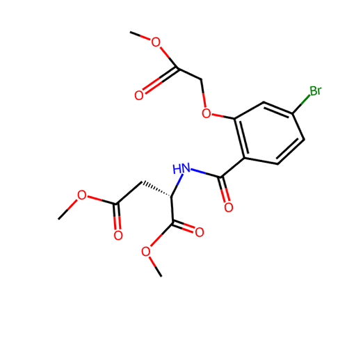 COC(=O)COc1cc(Br)ccc1C(=O)N[C@@H](CC(=O)OC)C(=O)OC